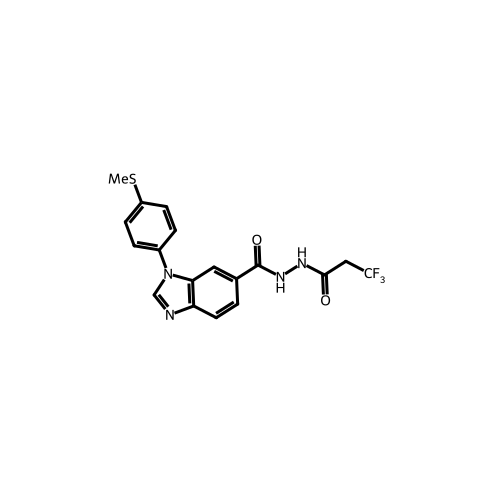 CSc1ccc(-n2cnc3ccc(C(=O)NNC(=O)CC(F)(F)F)cc32)cc1